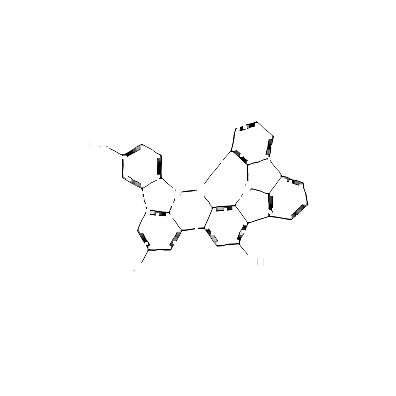 Cc1cc2c3c4c1c1cccc5c6cccc(c6n4c51)B3n1c3ccc(C(C)(C)C)cc3c3cc(C(C)(C)C)cc-2c31